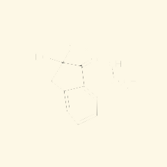 CC(=O)O.CC1(C)Cc2ccccc2C1=O